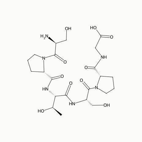 C[C@@H](O)[C@H](NC(=O)[C@@H]1CCCN1C(=O)[C@@H](N)CO)C(=O)N[C@@H](CO)C(=O)N1CCC[C@H]1C(=O)NCC(=O)O